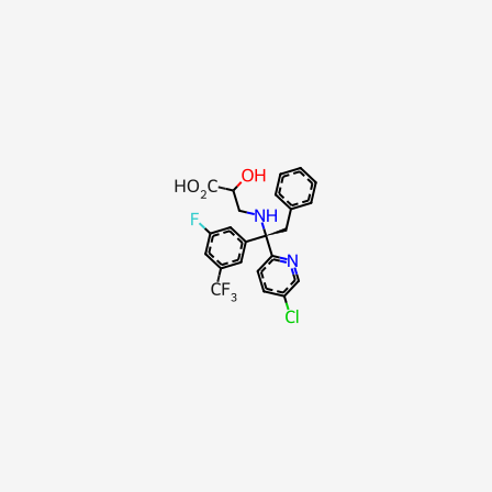 O=C(O)C(O)CN[C@@](Cc1ccccc1)(c1cc(F)cc(C(F)(F)F)c1)c1ccc(Cl)cn1